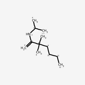 C=C(NC(C)C)C(C)(C)CCCC